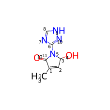 CC1=CC(O)N(c2nc[nH]n2)C1=O